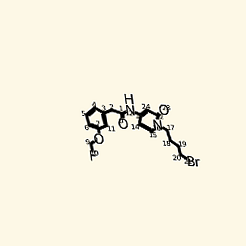 O=C(Cc1cccc(OCF)c1)Nc1ccn(CCCCBr)c(=O)c1